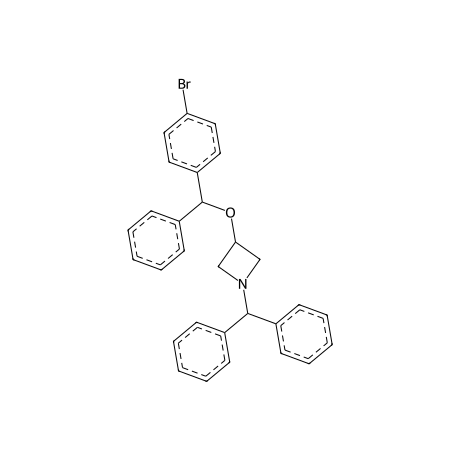 Brc1ccc(C(OC2CN(C(c3ccccc3)c3ccccc3)C2)c2ccccc2)cc1